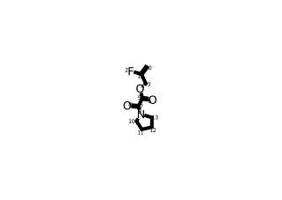 C=C(F)COC(=O)C(=O)N1CCCC1